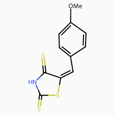 COc1ccc(C=C2SC(=S)NC2=S)cc1